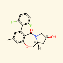 Cc1cc2c(c(-c3c(F)cccc3F)c1)C(=O)N1C[C@@H](O)C[C@@H]1CO2